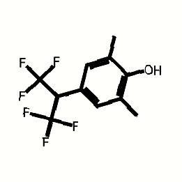 Cc1cc(C(C(F)(F)F)C(F)(F)F)cc(C)c1O